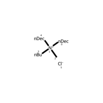 CCCCCCCCCC[N+](C)(CCCC)CCCCCCCCCC.[Cl-]